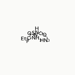 CCc1cc(C(=O)c2sc(Nc3ccc(OCCC4CCCN4)cc3)nc2N)ccc1F